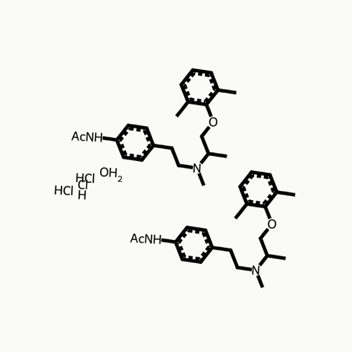 CC(=O)Nc1ccc(CCN(C)C(C)COc2c(C)cccc2C)cc1.CC(=O)Nc1ccc(CCN(C)C(C)COc2c(C)cccc2C)cc1.Cl.Cl.Cl.O